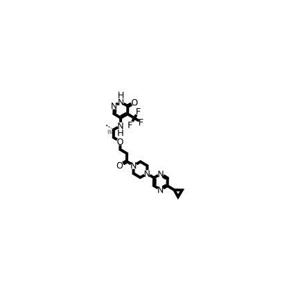 C[C@@H](COCCC(=O)N1CCN(c2cnc(C3CC3)cn2)CC1)Nc1cn[nH]c(=O)c1C(F)(F)F